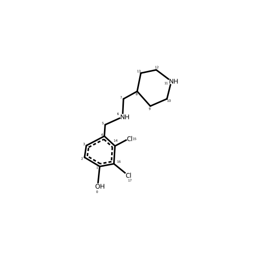 Oc1ccc(CNCC2CCNCC2)c(Cl)c1Cl